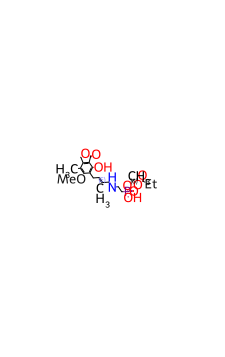 CCC(=O)O[C@H](C)OP(=O)(O)CCNC/C(C)=C/Cc1c(O)c2c(c(C)c1OC)COC2=O